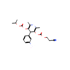 CC1=C(OC(=O)OCCC#N)C(c2cccc([N+](=O)[O-])c2)C(OC(=O)OC(C)C)=C(C)N1